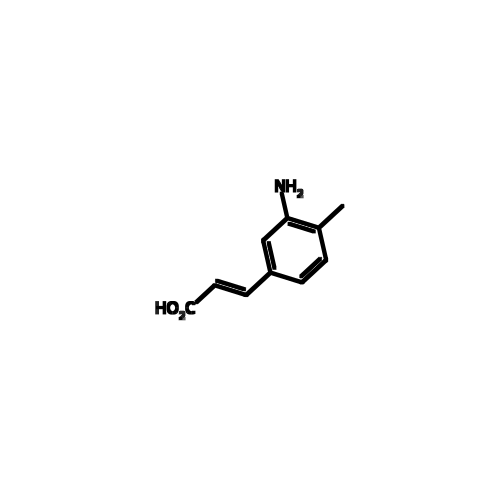 Cc1ccc(C=CC(=O)O)cc1N